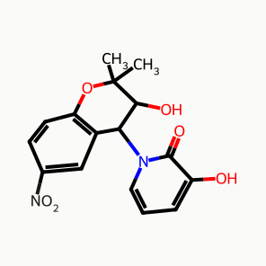 CC1(C)Oc2ccc([N+](=O)[O-])cc2C(n2cccc(O)c2=O)C1O